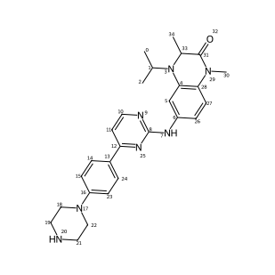 CC(C)N1c2cc(Nc3nccc(-c4ccc(N5CCNCC5)cc4)n3)ccc2N(C)C(=O)C1C